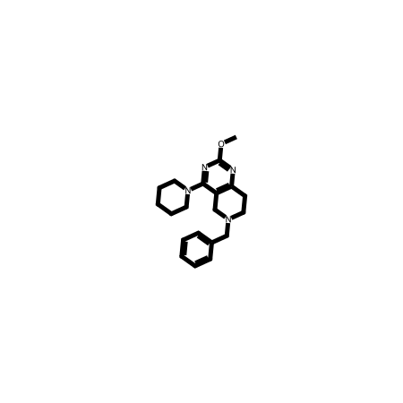 COc1nc2c(c(N3CCCCC3)n1)CN(Cc1ccccc1)CC2